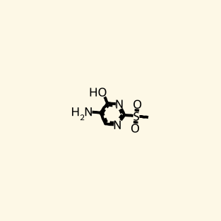 CS(=O)(=O)c1ncc(N)c(O)n1